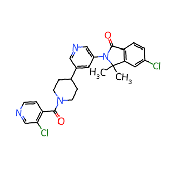 CC1(C)c2cc(Cl)ccc2C(=O)N1c1cncc(C2CCN(C(=O)c3ccncc3Cl)CC2)c1